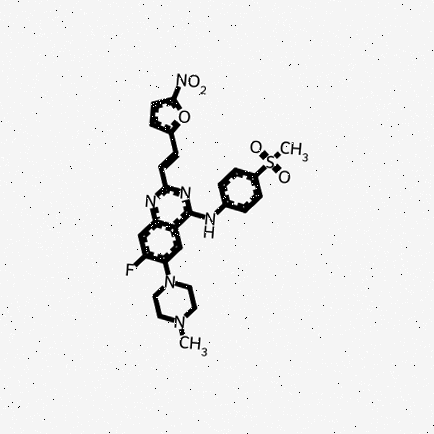 CN1CCN(c2cc3c(Nc4ccc(S(C)(=O)=O)cc4)nc(C=Cc4ccc([N+](=O)[O-])o4)nc3cc2F)CC1